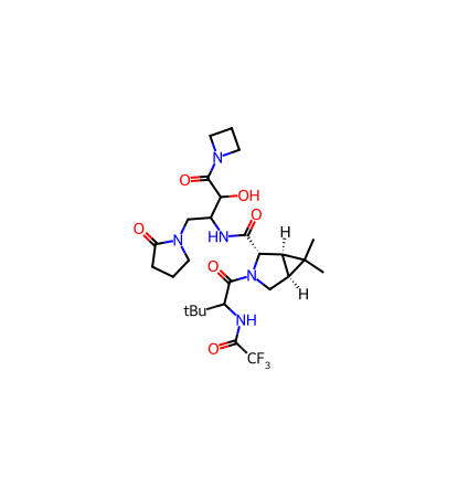 CC(C)(C)C(NC(=O)C(F)(F)F)C(=O)N1C[C@H]2[C@@H]([C@H]1C(=O)NC(CN1CCCC1=O)C(O)C(=O)N1CCC1)C2(C)C